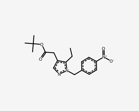 CCc1c(CC(=O)OC(C)(C)C)cnn1Cc1ccc([N+](=O)[O-])cc1